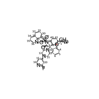 CCOc1ccccc1C1(N2CCN(c3ccnc(F)c3)CC2)C(=O)N(S(=O)(=O)c2cccc3cccnc23)c2ccc(C#N)cc21